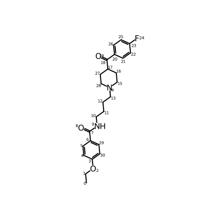 CCOc1ccc(C(=O)NCCCCN2CCC(C(=O)c3ccc(F)cc3)CC2)cc1